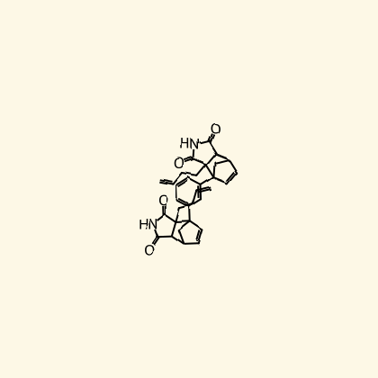 C=CCCC12C(=O)NC(=O)C1C1C=CC2(c2cccc(C34C=CC(C3)C3C(=O)NC(=O)C34CCC=C)c2)C1